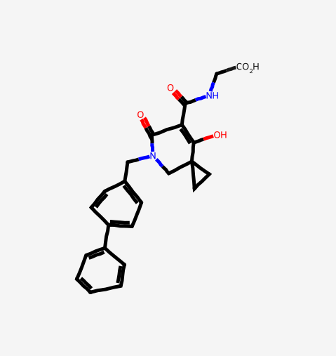 O=C(O)CNC(=O)C1=C(O)C2(CC2)CN(Cc2ccc(-c3ccccc3)cc2)C1=O